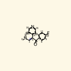 CN(C)/C=C(/C(=O)c1ccc(F)cc1)c1ccncc1F